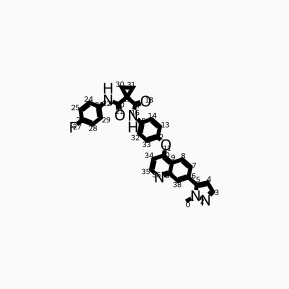 Cn1nccc1-c1ccc2c(Oc3ccc(NC(=O)C4(C(=O)Nc5ccc(F)cc5)CC4)cc3)ccnc2c1